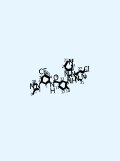 Cc1cn(-c2cc(NC(=O)c3ccc(C)c(Nc4nc5ccncc5n4-c4cc(Cl)ncn4)c3)cc(C(F)(F)F)c2)cn1